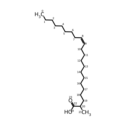 CCCCCCCC/C=C\CCCCCCCCCCC(C)C(=O)O